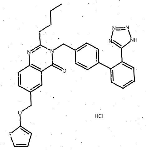 CCCCc1nc2ccc(COc3cccs3)cc2c(=O)n1Cc1ccc(-c2ccccc2-c2nnn[nH]2)cc1.Cl